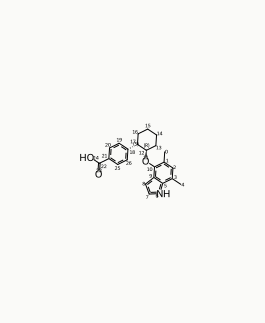 Cc1cc(C)c2[nH]ccc2c1O[C@@H]1CCCC[C@H]1c1ccc(C(=O)O)cc1